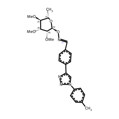 CO[C@@H]1[C@@H](OC)[C@H](C)O[C@@H](O/N=C/c2ccc(-c3cn(-c4ccc(C)cc4)nn3)cc2)[C@@H]1OC